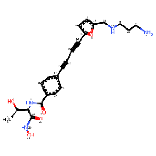 C[C@@H](O)[C@H](NC(=O)c1ccc(C#CC#Cc2ccc(CNCCCN)o2)cc1)C(=O)NO